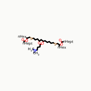 CCCCCCCC(=O)OC(CCCCCC)CSCCCCCC(CCCCCSCC(CCCCCC)OC(=O)CCCCCCC)OC(=O)CCCN(C)C